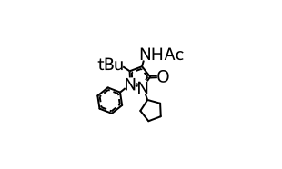 CC(=O)Nc1c(C(C)(C)C)n(-c2ccccc2)n(C2CCCC2)c1=O